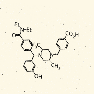 CCN(CC)C(=O)c1ccc([C@@H](c2cccc(O)c2)N2C[C@@H](C)N(Cc3ccc(C(=O)O)cc3)C[C@@H]2C)cc1